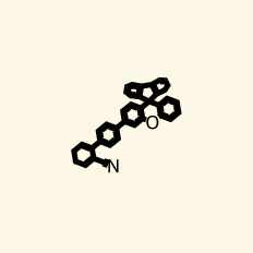 N#CC1=CCCC=C1c1ccc(-c2ccc3c(c2)Oc2ccccc2C32C3=C(C=CCC3)c3ccccc32)cc1